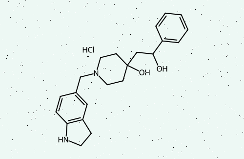 Cl.OC(CC1(O)CCN(Cc2ccc3c(c2)CCN3)CC1)c1ccccc1